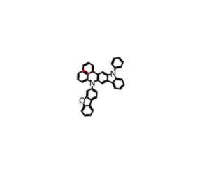 c1ccc(-c2cc3c(cc2N(c2ccccc2)c2ccc4c(c2)oc2ccccc24)c2ccccc2n3-c2ccccc2)cc1